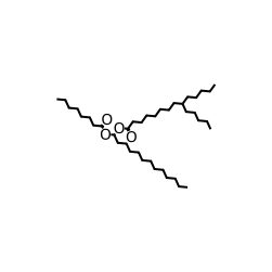 CCCCCCCCCCCCC(OC(=O)CCCCCCC)OC(=O)CCCCCCCC(CCCCC)CCCCC